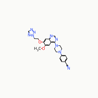 COc1cc2c(N3CCN(c4ccc(C#N)cc4)CC3)ncnc2cc1OCCn1ncnn1